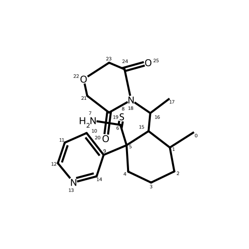 CC1CCCC(C(N)=S)(c2cccnc2)C1C(C)N1C(=O)COCC1=O